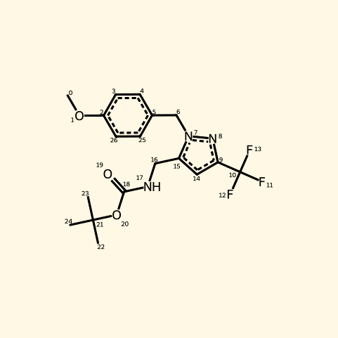 COc1ccc(Cn2nc(C(F)(F)F)cc2CNC(=O)OC(C)(C)C)cc1